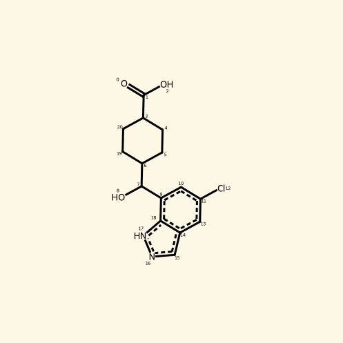 O=C(O)C1CCC(C(O)c2cc(Cl)cc3cn[nH]c23)CC1